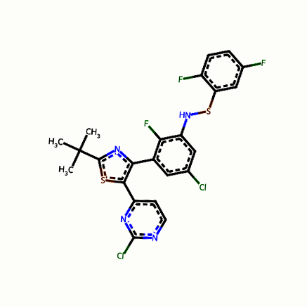 CC(C)(C)c1nc(-c2cc(Cl)cc(NSc3cc(F)ccc3F)c2F)c(-c2ccnc(Cl)n2)s1